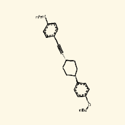 CCCCCc1ccc(C#C[C@H]2CC[C@H](c3ccc(OCCCC)cc3)CC2)cc1